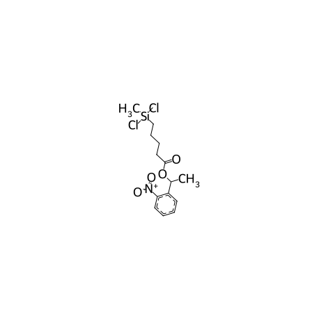 CC(OC(=O)CCCC[Si](C)(Cl)Cl)c1ccccc1[N+](=O)[O-]